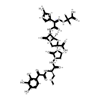 COC[C@@H](NC(=O)C(=O)c1ccc(O)c(O)c1Cl)C(=O)NN1CCN([C@]2(C(=O)O)CN3C(=O)[C@@H](NC(=O)/C(=N\OC(C)(C)C(=O)O)c4csc(N)n4)[C@H]3S2)C1=O